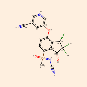 CS(=O)(=NC#N)c1ccc(Oc2cncc(C#N)c2)c2c1C(=O)C(F)(F)[C@@H]2F